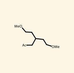 COCCC(CCOC)CC(C)=O